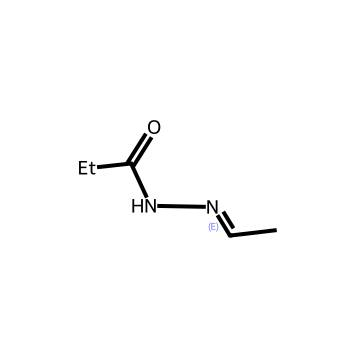 C/C=N/NC(=O)CC